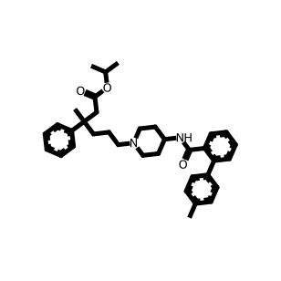 Cc1ccc(-c2ccccc2C(=O)NC2CCN(CCCC(C)(CC(=O)OC(C)C)c3ccccc3)CC2)cc1